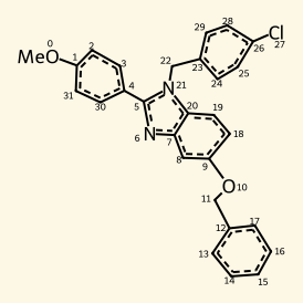 COc1ccc(-c2nc3cc(OCc4ccccc4)ccc3n2Cc2ccc(Cl)cc2)cc1